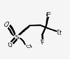 CCC(F)(F)CS(=O)(=O)Cl